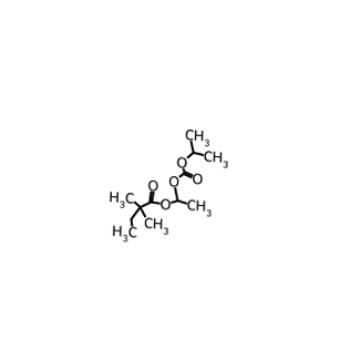 CCC(C)(C)C(=O)OC(C)OC(=O)OC(C)C